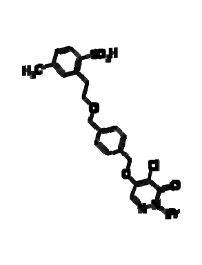 Cc1ccc(S(=O)(=O)O)c(CCOCc2ccc(COc3cnn(C(C)C)c(=O)c3Cl)cc2)c1